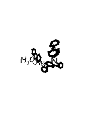 CC1(C)c2ccccc2-c2ccc(-n3c4ccccc4c4cc5c6ccccc6n(-c6ccc(-c7ccccc7)cc6)c5cc43)cc21